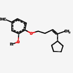 CCOc1cc(C=O)ccc1OCCC=C(C)C1CCCC1